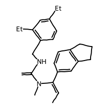 C=C(NCc1ccc(CC)cc1CC)N(C)/C(=C\C)c1ccc2c(c1)CCC2